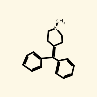 CN1CCC(=C(c2ccccc2)c2ccccc2)CC1